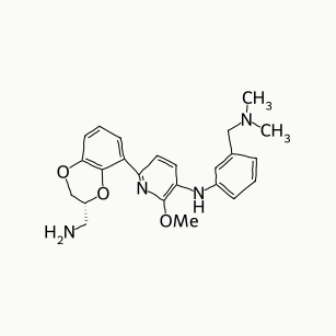 COc1nc(-c2cccc3c2O[C@H](CN)CO3)ccc1Nc1cccc(CN(C)C)c1